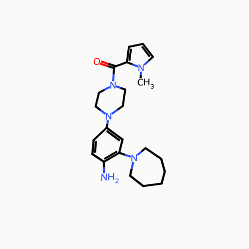 Cn1cccc1C(=O)N1CCN(c2ccc(N)c(N3CCCCCC3)c2)CC1